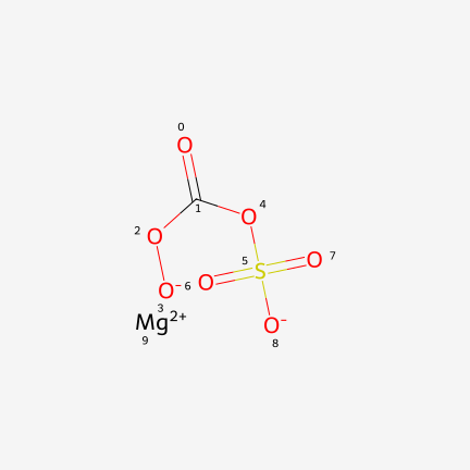 O=C(O[O-])OS(=O)(=O)[O-].[Mg+2]